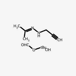 C#CCNN=C(C)C.CC(C)(C)OC=O.Cl